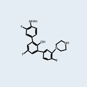 CC(=O)Nc1ccc(-c2cc(F)cc(-c3ccc(F)c(N4CCNCC4)c3)c2O)cc1F